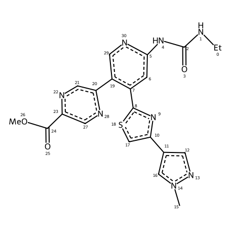 CCNC(=O)Nc1cc(-c2nc(-c3cnn(C)c3)cs2)c(-c2cnc(C(=O)OC)cn2)cn1